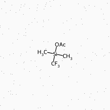 CC(=O)O[Si](C)(C)C(F)(F)F